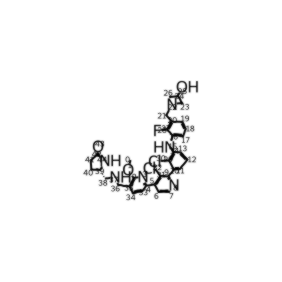 COc1nc(-c2ccnc(-c3cccc(Nc4cccc(CN5CC(O)C5)c4F)c3Cl)c2Cl)ccc1CNC[C@@H]1CCC(=O)N1